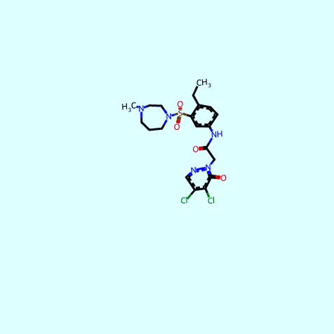 CCc1ccc(NC(=O)Cn2ncc(Cl)c(Cl)c2=O)cc1S(=O)(=O)N1CCCN(C)CC1